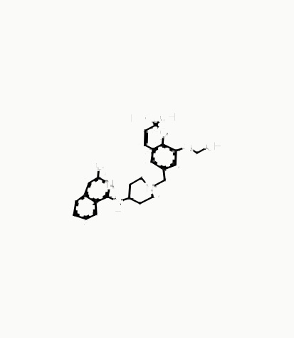 CCOc1cc(CN2CCC(Nc3nc(Cl)cc4ccccc34)CC2)cc2c1OC(C)(C)C=C2